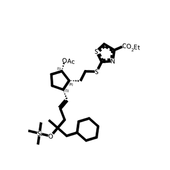 CCOC(=O)c1csc(SCC[C@@H]2[C@H](C=CCC(C)(CC3CCCCC3)O[Si](C)(C)C)CC[C@@H]2OC(C)=O)n1